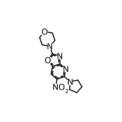 O=[N+]([O-])c1cc2oc(N3CCOCC3)nc2nc1N1CCCC1